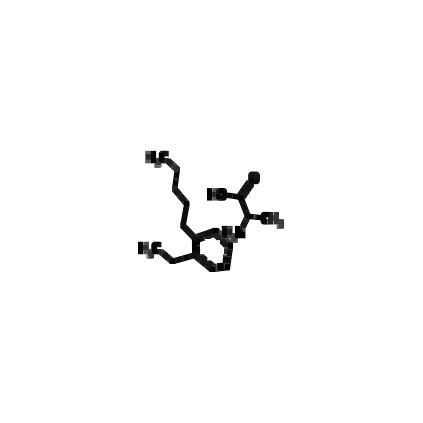 CC(N)C(=O)O.CCCCCc1ccccc1CC